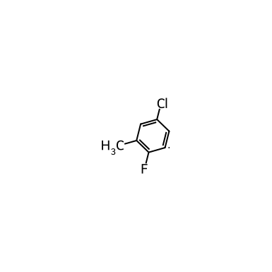 Cc1cc(Cl)c[c]c1F